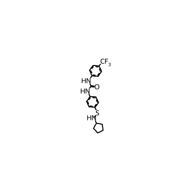 O=C(Nc1ccc(SNC2CCCC2)cc1)Nc1ccc(C(F)(F)F)cc1